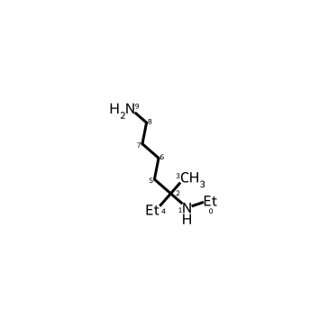 CCNC(C)(CC)CCCCN